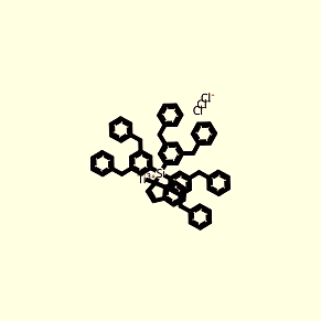 [Cl-].[Cl-].[Cl-].[Ti+3][C]1([Si](c2cc(Cc3ccccc3)cc(Cc3ccccc3)c2)(c2cc(Cc3ccccc3)cc(Cc3ccccc3)c2)c2cc(Cc3ccccc3)cc(Cc3ccccc3)c2)C=Cc2ccccc21